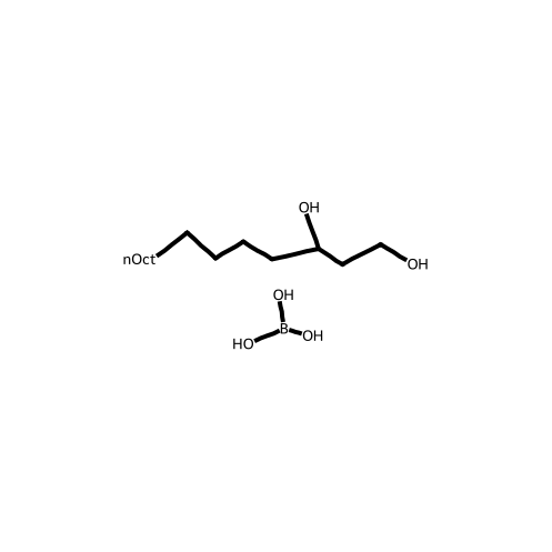 CCCCCCCCCCCCC(O)CCO.OB(O)O